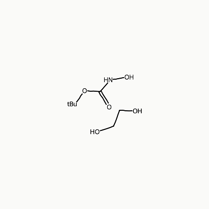 CC(C)(C)OC(=O)NO.OCCO